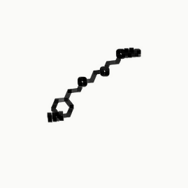 COCCOCCOCCC1CCNCC1